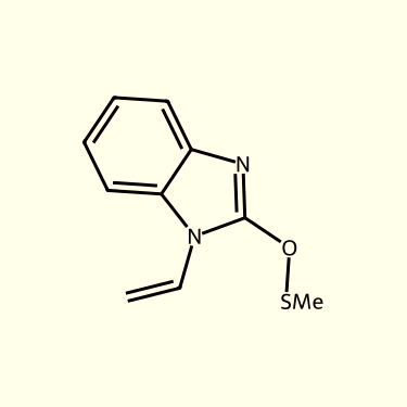 C=Cn1c(OSC)nc2ccccc21